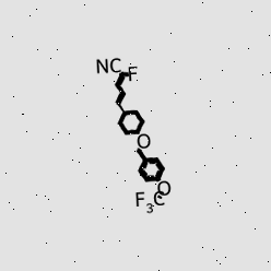 N#CC(F)=CC=C[C@H]1CC[C@H](OCc2ccc(OC(F)(F)F)cc2)CC1